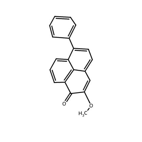 COC1=Cc2ccc(-c3ccccc3)c3cccc(c23)C1=O